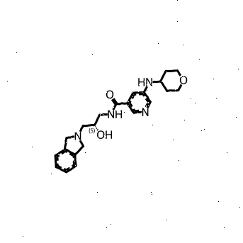 O=C(NC[C@H](O)CN1Cc2ccccc2C1)c1cncc(NC2CCOCC2)c1